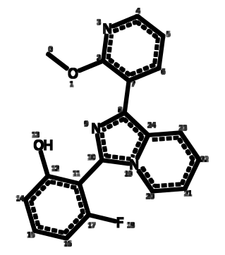 COc1ncccc1-c1nc(-c2c(O)cccc2F)n2ccccc12